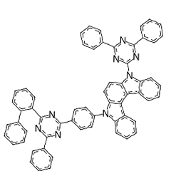 c1ccc(-c2nc(-c3ccc(-n4c5ccccc5c5c6c7ccccc7n(-c7nc(-c8ccccc8)nc(-c8ccccc8)n7)c6ccc54)cc3)nc(-c3ccccc3-c3ccccc3)n2)cc1